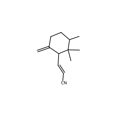 C=C1CCC(C)C(C)(C)C1C=CC#N